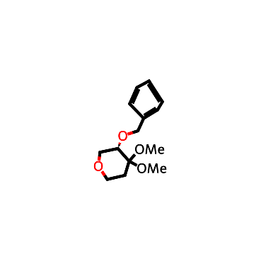 COC1(OC)CCOC[C@@H]1OCc1ccccc1